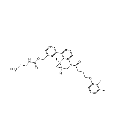 Cc1cccc(OCCCC(=O)N2C[C@H]3C[C@H]3c3c(-c4cccc(COC(=O)NCCC(=O)O)c4)cccc32)c1C